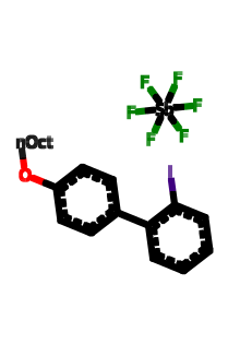 CCCCCCCCOc1ccc(-c2ccccc2I)cc1.[F][Sb-]([F])([F])([F])([F])[F]